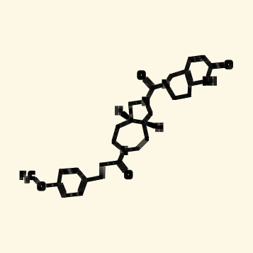 O=C(/C=C/c1ccc(OC(F)(F)F)cc1)N1CC[C@@H]2CN(C(=O)N3CCc4[nH]c(=O)ccc4C3)C[C@@H]2CC1